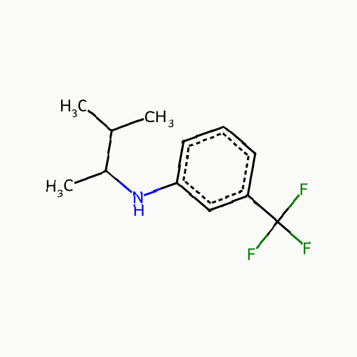 CC(C)C(C)Nc1cccc(C(F)(F)F)c1